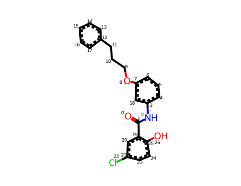 O=C(Nc1cccc(OCCCc2ccccc2)c1)c1cc(Cl)ccc1O